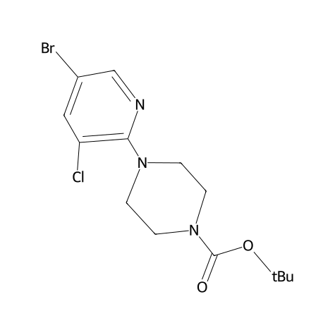 CC(C)(C)OC(=O)N1CCN(c2ncc(Br)cc2Cl)CC1